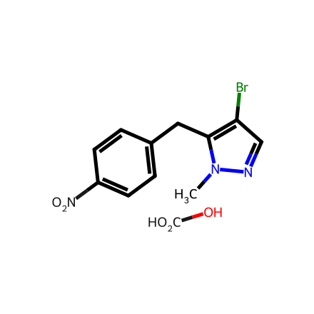 Cn1ncc(Br)c1Cc1ccc([N+](=O)[O-])cc1.O=C(O)O